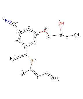 C=C/C=C(/C)SC(=C)c1cc(C#N)cc(OC[C@H](O)CC)c1